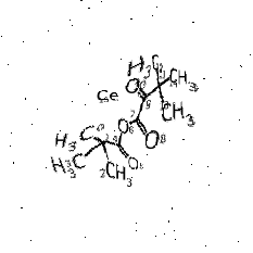 CC(C)(C)C(=O)OC(=O)C(=O)C(C)(C)C.[Ce]